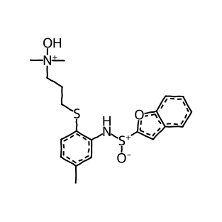 Cc1ccc(SCCC[N+](C)(C)O)c(N[S+]([O-])c2cc3ccccc3o2)c1